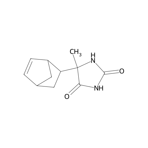 CC1(C2CC3C=CC2C3)NC(=O)NC1=O